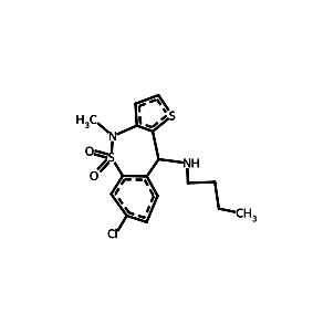 CCCCNC1c2ccc(Cl)cc2S(=O)(=O)N(C)c2ccsc21